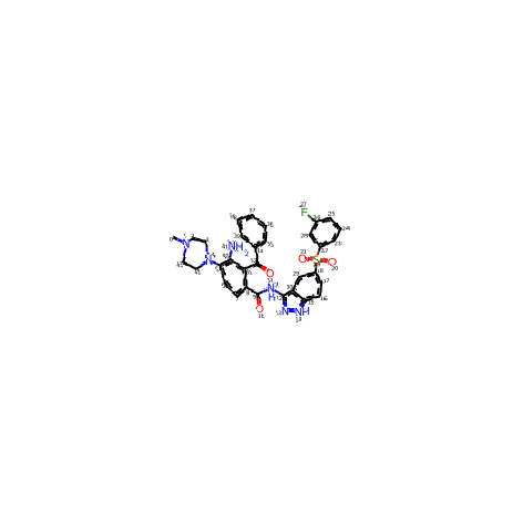 CN1CCN(c2ccc(C(=O)Nc3n[nH]c4ccc(S(=O)(=O)c5cccc(F)c5)cc34)c(C(=O)c3ccccc3)c2N)CC1